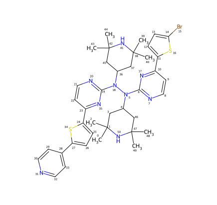 CC1(C)CC(N(c2nccc(-c3ccc(Br)s3)n2)N(c2nccc(-c3ccc(-c4ccncc4)s3)n2)C2CC(C)(C)NC(C)(C)C2)CC(C)(C)N1